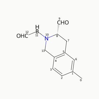 Cc1ccc2c(c1)C[C@@H](C=O)N(BC=O)C2